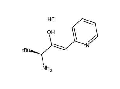 CC(C)(C)[C@H](N)C(O)=Cc1ccccn1.Cl